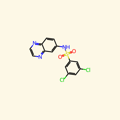 O=S(=O)(Nc1ccc2nccnc2c1)c1cc(Cl)cc(Cl)c1